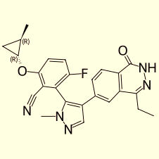 CCc1n[nH]c(=O)c2ccc(-c3cnn(C)c3-c3c(F)ccc(O[C@@H]4C[C@H]4C)c3C#N)cc12